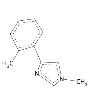 Cc1ccccc1-c1cn(C)cn1